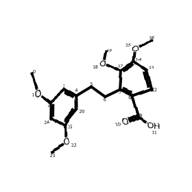 COc1cc(CCc2c(C(=O)O)ccc(OC)c2OC)cc(OC)c1